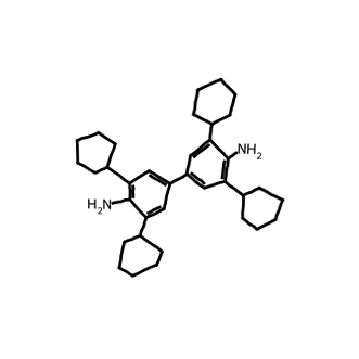 Nc1c(C2CCCCC2)cc(-c2cc(C3CCCCC3)c(N)c(C3CCCCC3)c2)cc1C1CCCCC1